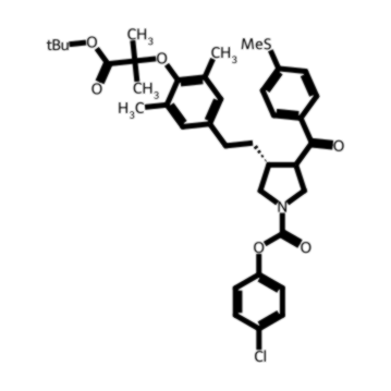 CSc1ccc(C(=O)C2CN(C(=O)Oc3ccc(Cl)cc3)C[C@@H]2CCc2cc(C)c(OC(C)(C)C(=O)OC(C)(C)C)c(C)c2)cc1